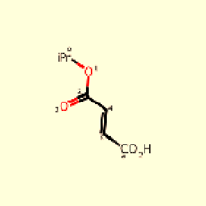 CC(C)OC(=O)C=CC(=O)O